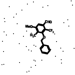 COc1cc(C=O)c(C(F)(F)F)c(OCc2ccccc2)c1C